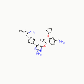 NCc1ccc(C(Oc2cc(-c3ccc(CC(N)C(=O)O)cc3)nc(N)n2)C(F)(F)F)c(OC2CCCC2)c1